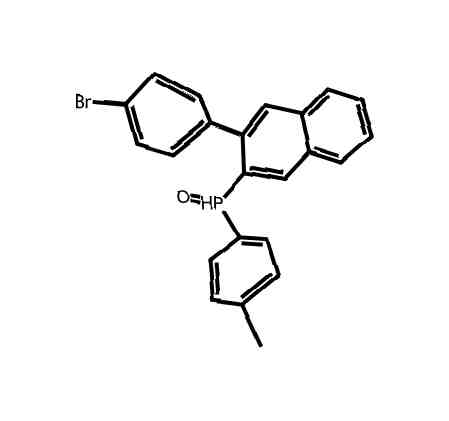 Cc1ccc([PH](=O)c2cc3ccccc3cc2-c2ccc(Br)cc2)cc1